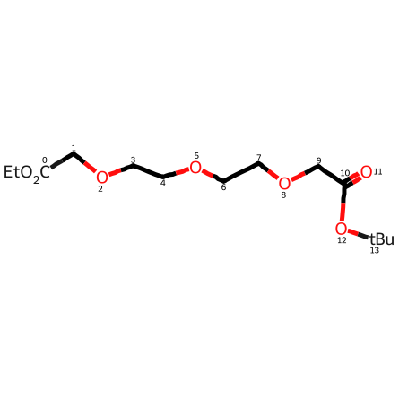 CCOC(=O)COCCOCCOCC(=O)OC(C)(C)C